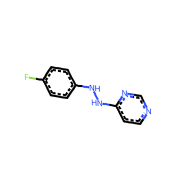 Fc1ccc(NNc2ccncn2)cc1